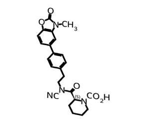 Cn1c(=O)oc2ccc(-c3ccc(CCN(C#N)C(=O)[C@@H]4CCCCN4C(=O)O)cc3)cc21